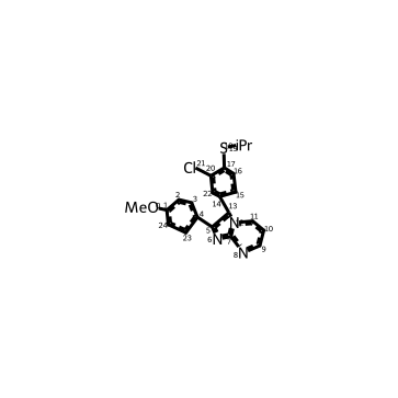 COc1ccc(-c2nc3ncccn3c2-c2ccc(SC(C)C)c(Cl)c2)cc1